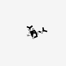 CC(C)OC[C@@]12CO[C@@H]([C@H](C)C1)[C@@H]2OC(C)C